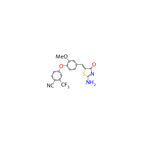 COc1cc(/C=C2\SC(N)=NC2=O)ccc1Oc1ccc(C#N)c(C(F)(F)F)c1